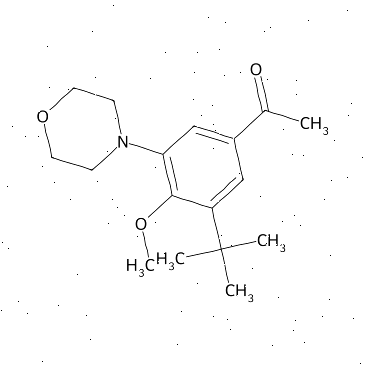 COc1c(N2CCOCC2)cc(C(C)=O)cc1C(C)(C)C